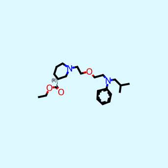 CCOC(=O)[C@@H]1CCCN(CCOCCN(CC(C)C)c2ccccc2)C1